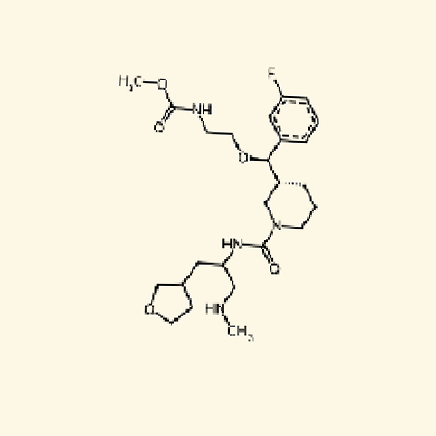 CNCC(CC1CCOC1)NC(=O)N1CCC[C@@H]([C@@H](OCCNC(=O)OC)c2cccc(F)c2)C1